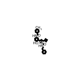 Cc1ccc(C(=O)Nc2ccc(O)c(-c3cc(C4CCC4)n(C(=O)NCCc4ccccc4)n3)c2)cc1